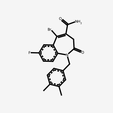 Cc1ccc(CN2C(=O)CC(C(N)=O)=C(Br)c3cc(F)ccc32)cc1C